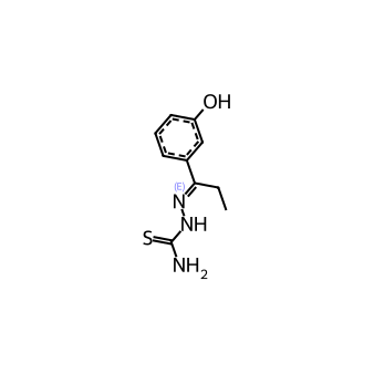 CC/C(=N\NC(N)=S)c1cccc(O)c1